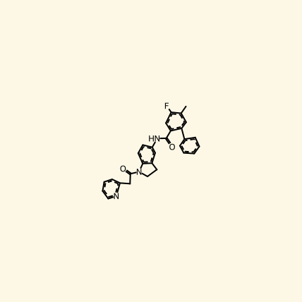 Cc1cc(-c2ccccc2)c(C(=O)Nc2ccc3c(c2)CCN3C(=O)Cc2ccccn2)cc1F